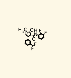 CN1C[C@H](c2cccc(C(F)F)c2)[C@@H](C(=O)Nc2cccc(F)c2F)C1=O